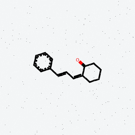 O=C1CCCCC1=CC=Cc1ccccc1